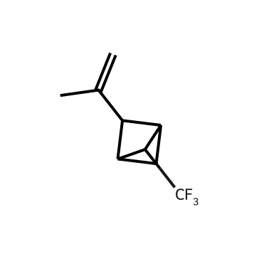 C=C(C)C1C2CC1C2C(F)(F)F